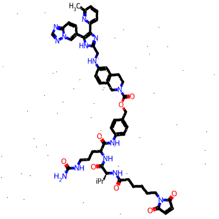 Cc1cccc(-c2nc(CNc3ccc4c(c3)CCN(C(=O)OCc3ccc(NC(=O)C(CCCNC(N)=O)NC(=O)[C@@H](NC(=O)CCCCCN5C(=O)C=CC5=O)C(C)C)cc3)C4)[nH]c2-c2ccc3ncnn3c2)n1